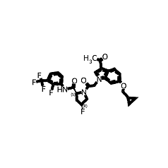 CC(=O)c1cn(CC(=O)N2C[C@H](F)C[C@H]2C(=O)Nc2cccc(C(F)(F)F)c2F)c2cc(OCC3CC3)ccc12